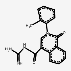 Cc1ccccc1-n1cc(C(=O)NC(=N)N)c2ccccc2c1=O